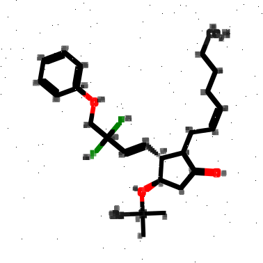 CC(C)(C)[Si](C)(C)O[C@@H]1CC(=O)C(C/C=C\CCCC(=O)O)[C@H]1C=CC(F)(F)COc1ccccc1